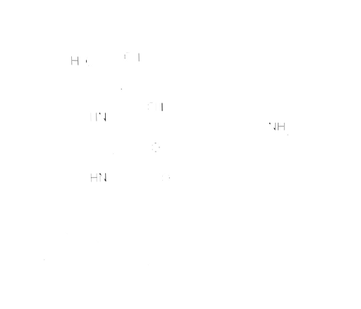 CC(C)(C)NC(=O)Nc1c(OCCCN)cccc1C1CC1